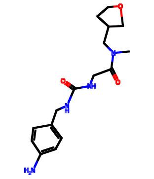 CN(CC1CCOC1)C(=O)CNC(=O)NCc1ccc(N)cc1